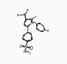 Cc1c(C(F)F)cc(-c2ccc(S(N)(=O)=O)cc2)n1-c1ccc(F)cc1